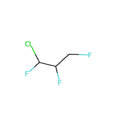 F[CH]C(F)C(F)Cl